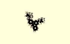 CCC(C)(C)Oc1ccc(C(C)(c2ccccc2)c2ccc(OC(=O)C(C)(C)CC)cc2)cc1